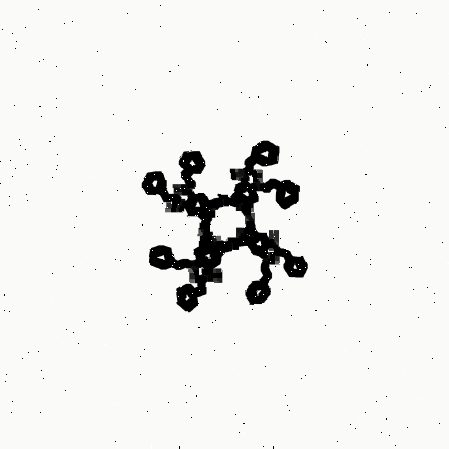 c1ccc(CCNc2cc3c(cc2NCCc2ccccc2)-c2nc-3nc3[nH]c(nc4nc(nc5[nH]c(n2)c2cc(NCCc6ccccc6)c(NCCc6ccccc6)cc52)-c2cc(NCCc5ccccc5)c(NCCc5ccccc5)cc2-4)c2cc(NCCc4ccccc4)c(NCCc4ccccc4)cc32)cc1